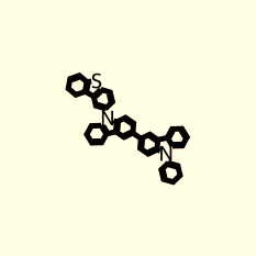 C1=CC(n2c3ccccc3c3cc(-c4ccc5c(c4)c4c(n5-c5ccc6sc7c(c6c5)CCC=C7)CCC=C4)ccc32)=CCC1